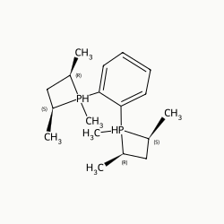 C[C@@H]1C[C@H](C)[PH]1(C)c1ccccc1[PH]1(C)[C@H](C)C[C@@H]1C